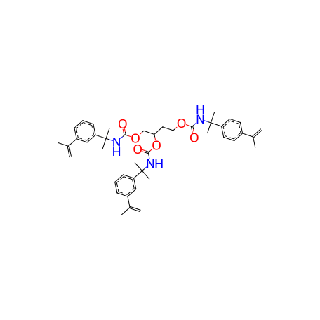 C=C(C)c1ccc(C(C)(C)NC(=O)OCCC(COC(=O)NC(C)(C)c2cccc(C(=C)C)c2)OC(=O)NC(C)(C)c2cccc(C(=C)C)c2)cc1